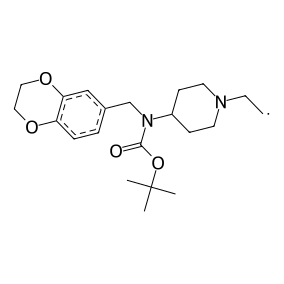 [CH2]CN1CCC(N(Cc2ccc3c(c2)OCCO3)C(=O)OC(C)(C)C)CC1